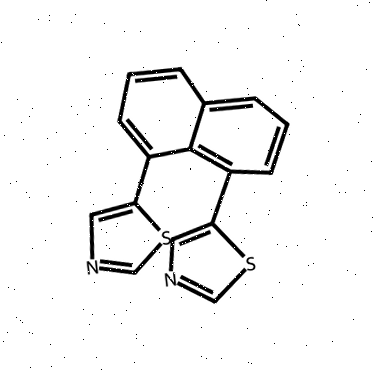 c1cc(-c2cncs2)c2c(-c3cncs3)cccc2c1